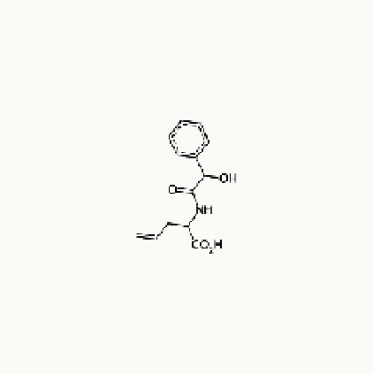 C=CCC(NC(=O)C(O)c1ccccc1)C(=O)O